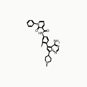 CN1CCC(c2cc(-c3ccc(NC(=O)c4cccn(-c5ccccc5)c4=O)cc3F)c3c(N)ncnn23)CC1